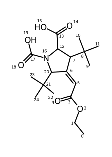 CCOC(=O)C=C1C(C(C)(C)C)C(C(=O)O)N(C(=O)O)C1C(C)(C)C